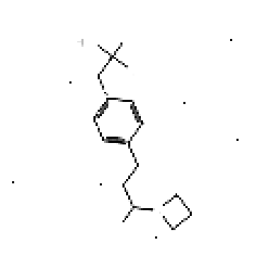 CC(CCc1ccc(CC(C)(C)C)cc1)N1CCC1